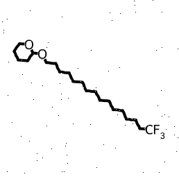 FC(F)(F)CCCCCCCCCCCCCCCOC1CCCCO1